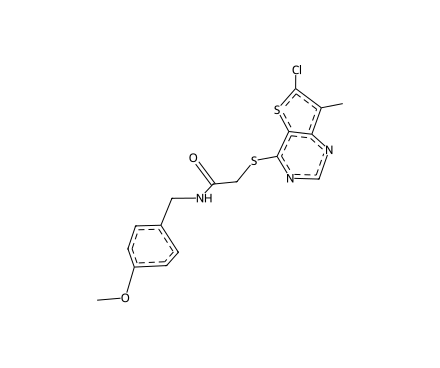 COc1ccc(CNC(=O)CSc2ncnc3c(C)c(Cl)sc23)cc1